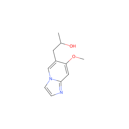 COc1cc2nccn2cc1CC(C)O